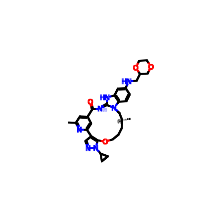 Cc1cc2cc(n1)-c1cnn(C3CC3)c1OCCC[C@@H](C)CN1/C(=N/C2=O)Nc2cc(NCC3COCCO3)ccc21